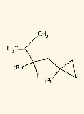 C=C(C)C(F)(CC1(C(C)C)CC1)C(C)(C)C